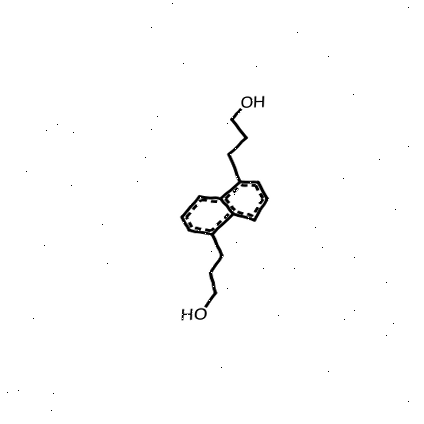 OCCCc1cccc2c(CCCO)cccc12